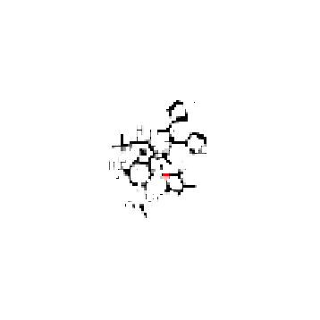 CC(=O)O[C@H]1C[C@](C)(O)[C@]23OC(C)(C)[C@H]([C@@H](OC(=O)c4ccoc4)[C@H](OC(=O)c4ccoc4)[C@]2(COC(=O)C(C)C)[C@H]1OC(C)=O)[C@H]3OC(C)=O